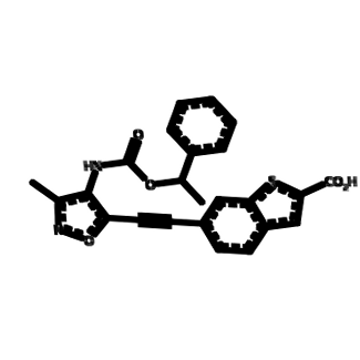 Cc1noc(C#Cc2ccc3cc(C(=O)O)sc3c2)c1NC(=O)OC(C)c1ccccc1